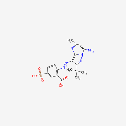 Cc1cc(N)n2nc(C(C)(C)C)c(/N=N/c3ccc(S(=O)(=O)O)cc3C(=O)O)c2n1